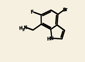 NCc1c(F)cc(Br)c2cc[nH]c12